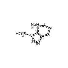 O=S(=O)(O)n1nnc2ccccc21.[NaH]